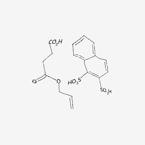 C=CCOC(=O)CCC(=O)O.O=S(=O)(O)c1ccc2ccccc2c1S(=O)(=O)O